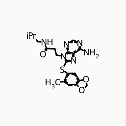 Cc1cc2c(cc1Sc1nc3c(N)ncnc3n1CCC(=O)NCC(C)C)OCO2